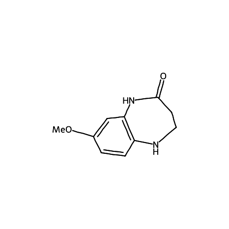 COc1ccc2c(c1)NC(=O)CCN2